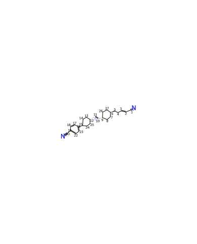 N#CC=CCC[C@H]1CC[C@H](/C=C/[C@H]2CC[C@H](c3ccc(C#N)cc3)CC2)CC1